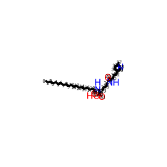 CCC=CCC=CCC=CCC=CCC=CCCCC(=O)N[C@@H](CCCCNC(=O)CC=Cc1ccc(C)nc1)C(=O)O